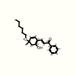 CCCCCCOC1(C)C=CC(C=CC(=O)c2ccccc2)=C(O)C1